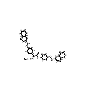 CON=C(C(=O)Oc1ccc(OCc2cnc3ccccc3n2)cc1)c1ccc(OCc2cnc3ccccc3n2)cc1